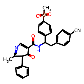 CC1=NC=C(C(=O)NC(Cc2ccc(C#N)cc2)c2ccc(S(C)(=O)=O)cc2)C(=O)C1c1ccccc1